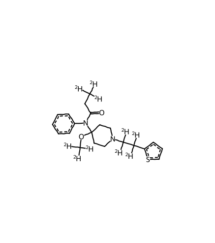 [2H]C([2H])([2H])CC(=O)N(c1ccccc1)C1(OC([2H])([2H])[2H])CCN(C([2H])([2H])C([2H])([2H])c2cccs2)CC1